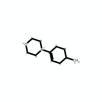 CC1CC=C(N2CCOCC2)CC1